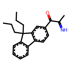 CCCC1(CCC)c2ccccc2-c2ccc(C(=O)C(C)=N)cc21